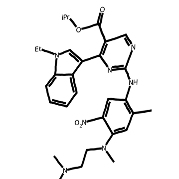 CCn1cc(-c2nc(Nc3cc([N+](=O)[O-])c(N(C)CCN(C)C)cc3C)ncc2C(=O)OC(C)C)c2ccccc21